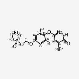 CCOP(=O)(OCC)OCOc1cc(C)c(Oc2cc(C(C)C)c(=O)[nH]n2)c(C)c1